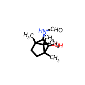 CC12CCC(C)(C(NC=O)C1O)C2(C)C